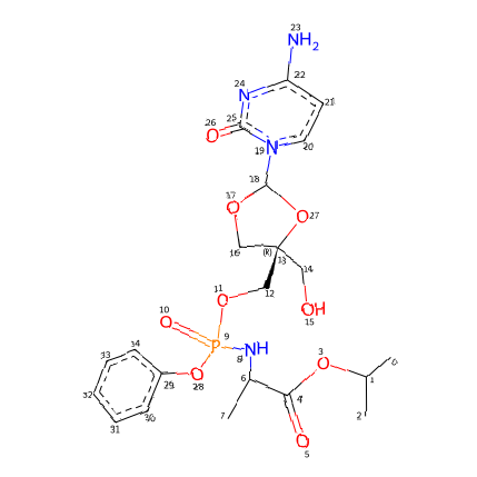 CC(C)OC(=O)C(C)NP(=O)(OC[C@@]1(CO)COC(n2ccc(N)nc2=O)O1)Oc1ccccc1